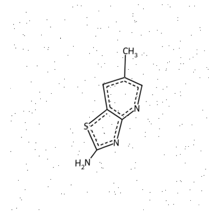 Cc1cnc2nc(N)sc2c1